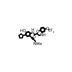 CNCC#Cc1cc(C2CCCC2)c(O)cc1NC(=O)C1CNc2cc(OC(F)(F)F)ccc2O1